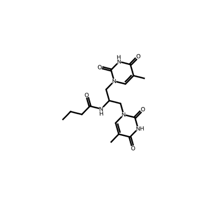 CCCC(=O)NC(Cn1cc(C)c(=O)[nH]c1=O)Cn1cc(C)c(=O)[nH]c1=O